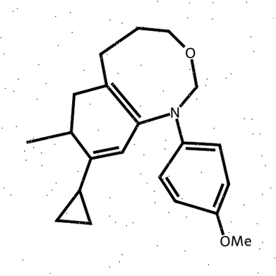 COc1ccc(N2COCCCC3=C2C=C(C2CC2)C(C)C3)cc1